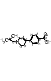 CC(C)CN1CC=C(c2ccc(C(=O)O)cc2)CC1